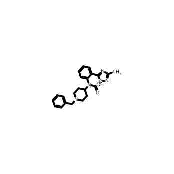 Cc1noc(-c2ccccc2N(C(=O)O)C2CCN(Cc3ccccc3)CC2)n1